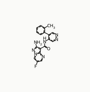 Cc1ccccc1-c1cnncc1NC(=O)c1c(N)nn2cc(F)cnc12